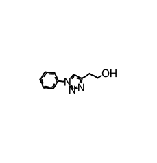 OCCc1cn(-c2ccccc2)nn1